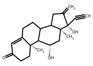 C#C[C@]1(O)C(=C)CC2C3CCC4=CC(=O)CC[C@]4(C)C3[C@@H](O)C[C@@]21C